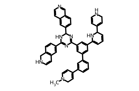 CN1C=CC(c2cccc(-c3cc(C4=CC=CC(C5=CCNC=C5)N4)cc(C4=NC(c5ccc6cnccc6c5)NC(c5ccc6c(c5)C=CNC6)=N4)c3)c2)=CC1